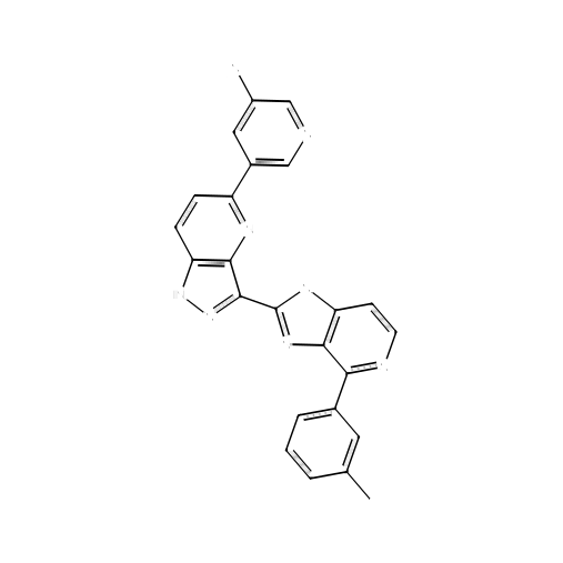 Cc1cccc(-c2nccc3[nH]c(-c4n[nH]c5ccc(-c6cncc(N)c6)nc45)nc23)c1